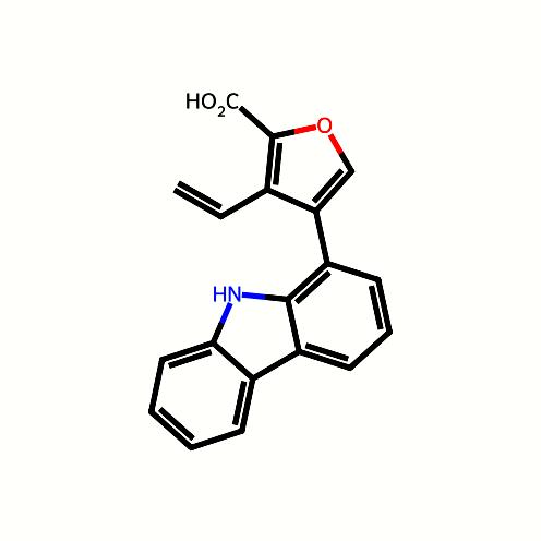 C=Cc1c(-c2cccc3c2[nH]c2ccccc23)coc1C(=O)O